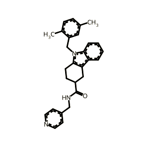 Cc1ccc(C)c(Cn2c3c(c4ccccc42)CC(C(=O)NCc2ccncc2)CC3)c1